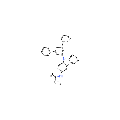 C=C(C)Nc1ccc2c(c1)c1ccccc1n2-c1cc(-c2ccccc2)cc(-c2ccccc2)c1